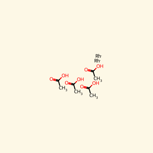 CC(=O)O.CC(=O)O.CC(=O)O.CC(=O)O.[Rh].[Rh]